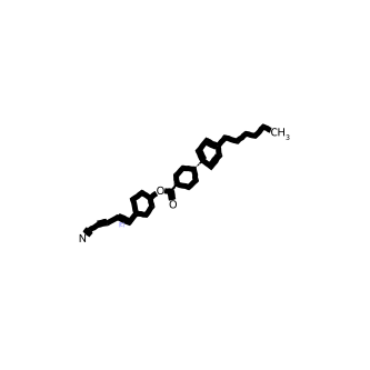 CCCCCCc1ccc([C@H]2CC[C@H](C(=O)OC3CCC(/C=C/C=CC#N)CC3)CC2)cc1